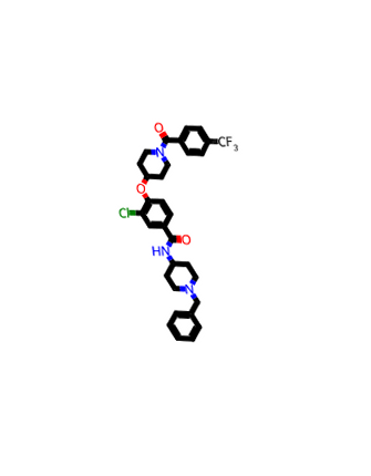 O=C(NC1CCN(Cc2ccccc2)CC1)c1ccc(OC2CCN(C(=O)c3ccc(C(F)(F)F)cc3)CC2)c(Cl)c1